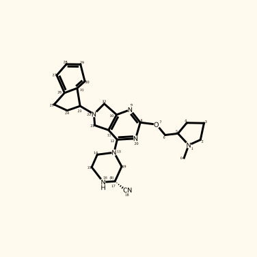 CN1CCCC1COc1nc2c(c(N3CCN[C@@H](C#N)C3)n1)CN(C1CCc3ccccc31)C2